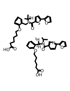 [2H]C(C)(C)N(Cc1ccccc1OCCCCCC(=O)O)C(=O)c1ccc(-c2ccco2)s1.[2H]C([2H])(c1ccccc1OCCCCCC(=O)O)N(C(=O)c1ccc(-c2ccco2)nc1)C(C)C